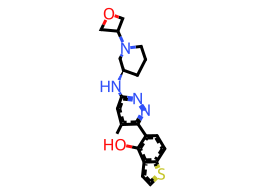 Cc1cc(N[C@@H]2CCCN(C3COC3)C2)nnc1-c1ccc2sccc2c1O